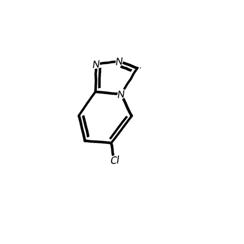 Clc1ccc2nn[c]n2c1